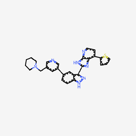 c1csc(-c2ccnc3[nH]c(-c4n[nH]c5ccc(-c6cncc(CN7CCCCC7)c6)cc45)nc23)c1